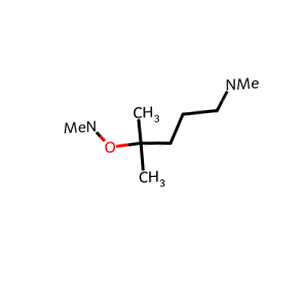 CNCCCC(C)(C)ONC